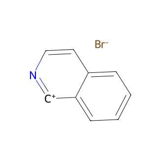 [Br-].[C+]1=NC=Cc2ccccc21